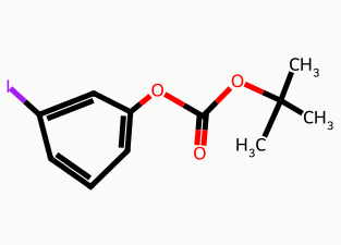 CC(C)(C)OC(=O)Oc1cccc(I)c1